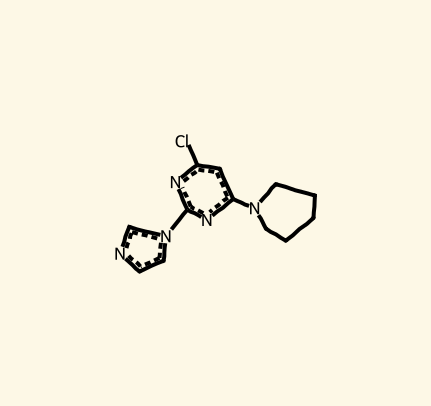 Clc1cc(N2CCCCC2)nc(-n2ccnc2)n1